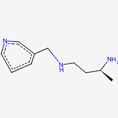 C[C@H](N)CCNCc1cccnc1